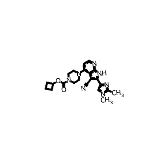 Cc1nc(-c2[nH]c3nccc(N4CCN(C(=O)OC5CCC5)CC4)c3c2C#N)cn1C